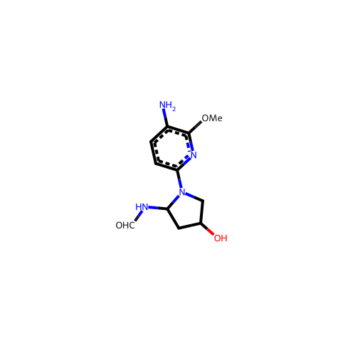 COc1nc(N2CC(O)CC2NC=O)ccc1N